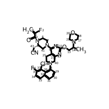 C=C(F)C(=O)N1CCN(c2nc(OCC(C)N3CCOCC3)nc3c2CCN(c2cccc4ccc(F)c(Cl)c24)C3)C[C@@H]1CC#N